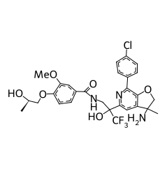 COc1cc(C(=O)NCC(O)(c2cc3c(c(-c4ccc(Cl)cc4)n2)OCC3(C)N)C(F)(F)F)ccc1OC[C@@H](C)O